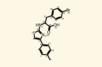 Cc1ccc(-c2csc(NC(Cc3ccc(Br)cc3)C(=O)O)n2)cc1